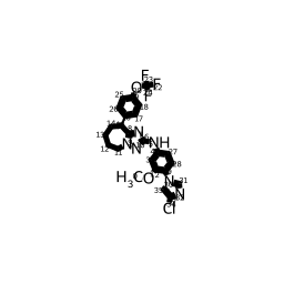 COc1cc(Nc2nc3n(n2)CCCC[C@H]3c2ccc(OC(F)(F)F)cc2)ccc1-n1cnc(Cl)c1